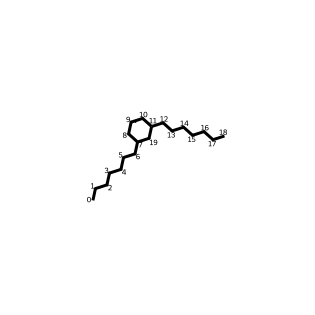 CCCCCCCC1C[CH]CC(CCCCCCC)C1